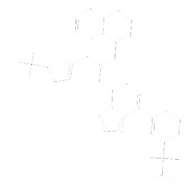 Cc1ccc2ccccc2c1CN(Cc1ccc(C(F)(F)F)o1)Cc1ccc(-c2cccc(C(C)(C)C(=O)O)c2)c2nccn12